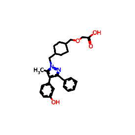 Cc1c(-c2cccc(O)c2)c(-c2ccccc2)nn1CC1CCC(COCC(=O)O)CC1